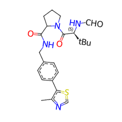 Cc1ncsc1-c1ccc(CNC(=O)C2CCCN2C(=O)[C@@H](NC=O)C(C)(C)C)cc1